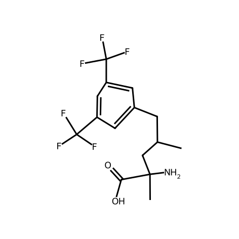 CC(Cc1cc(C(F)(F)F)cc(C(F)(F)F)c1)CC(C)(N)C(=O)O